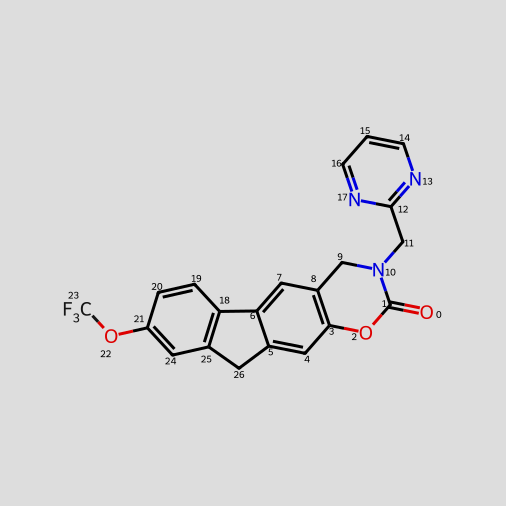 O=C1Oc2cc3c(cc2CN1Cc1ncccn1)-c1ccc(OC(F)(F)F)cc1C3